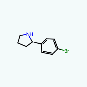 Brc1ccc([C@H]2CCCN2)cc1